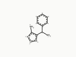 Nc1nonc1C(N)c1ccccc1